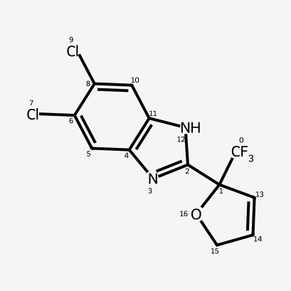 FC(F)(F)C1(c2nc3cc(Cl)c(Cl)cc3[nH]2)C=CCO1